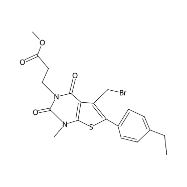 COC(=O)CCn1c(=O)c2c(CBr)c(-c3ccc(CI)cc3)sc2n(C)c1=O